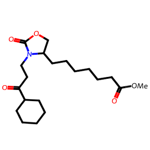 COC(=O)CCCCCCC1COC(=O)N1CCC(=O)C1CCCCC1